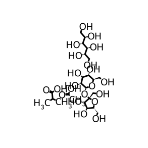 CC(=O)O.CC(C)C(=O)O.OC[C@@H](O)[C@@H](O)[C@H](O)[C@@H](O)CO.OC[C@H]1O[C@@](CO)(O[C@H]2O[C@H](CO)[C@@H](O)[C@H](O)[C@H]2O)[C@@H](O)[C@@H]1O